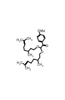 COc1ccc(C(=O)C(OCCC(C)CCC=C(C)C)OCCC(C)CCC=C(C)C)cc1